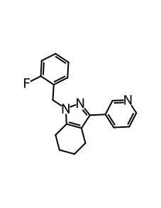 Fc1ccccc1Cn1nc(-c2cccnc2)c2c1CCCC2